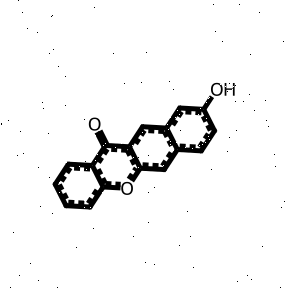 O=c1c2ccccc2oc2cc3ccc(O)cc3cc12